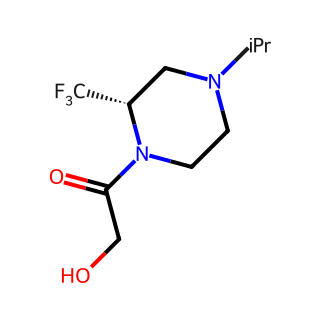 CC(C)N1CCN(C(=O)CO)[C@H](C(F)(F)F)C1